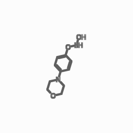 OBOc1ccc(N2CCOCC2)cc1